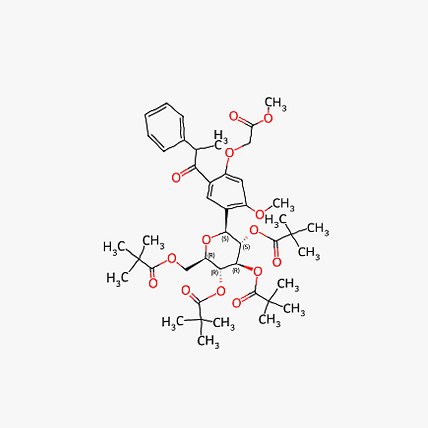 COC(=O)COc1cc(OC)c([C@@H]2O[C@H](COC(=O)C(C)(C)C)[C@@H](OC(=O)C(C)(C)C)[C@H](OC(=O)C(C)(C)C)[C@H]2OC(=O)C(C)(C)C)cc1C(=O)C(C)c1ccccc1